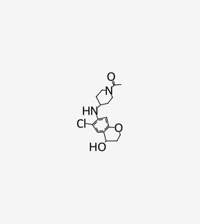 CC(=O)N1CCC(Nc2cc3c(cc2Cl)C(O)CCO3)CC1